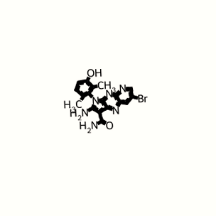 Cc1ccc(O)c(C)c1-n1c(N)c(C(N)=O)c2nc3cc(Br)cnc3nc21